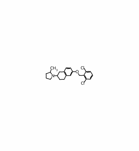 CC1CCCN1C1CCc2cc(OCc3c(Cl)cccc3Cl)ccc2C1